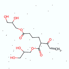 C=CC(=O)C(CCCC(=O)OCC(O)CO)C(=O)OCC(O)CO